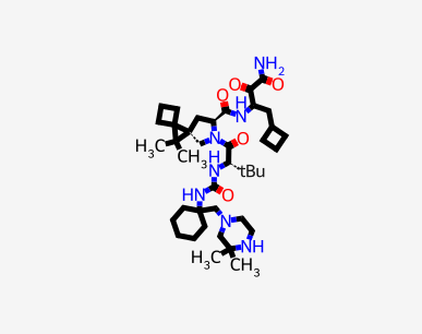 CC1(C)CN(CC2(NC(=O)N[C@H](C(=O)N3C[C@]4(C[C@H]3C(=O)NC(CC3CCC3)C(=O)C(N)=O)C(C)(C)C43CCC3)C(C)(C)C)CCCCC2)CCN1